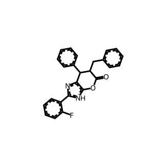 O=C1Oc2[nH]c(-c3ccccc3F)nc2C(c2ccccc2)C1Cc1ccccc1